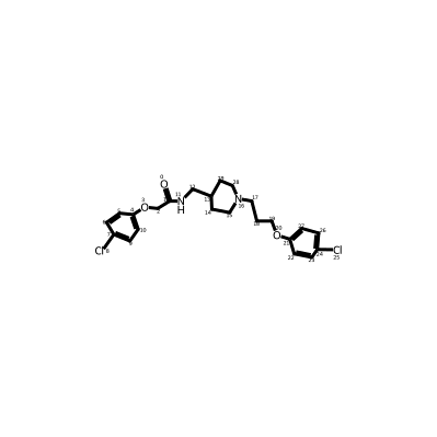 O=C(COc1ccc(Cl)cc1)NCC1CCN(CCCOc2ccc(Cl)cc2)CC1